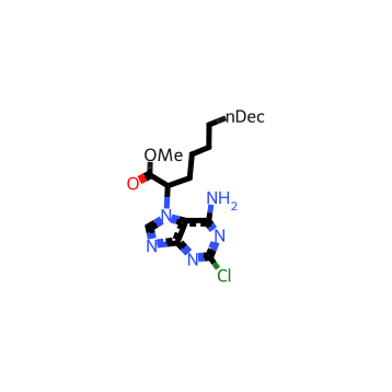 CCCCCCCCCCCCCCC(C(=O)OC)n1cnc2nc(Cl)nc(N)c21